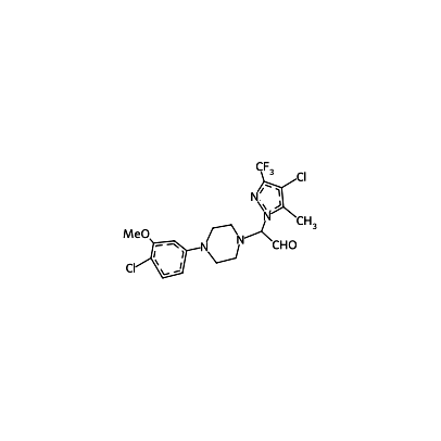 COc1cc(N2CCN(C(C=O)n3nc(C(F)(F)F)c(Cl)c3C)CC2)ccc1Cl